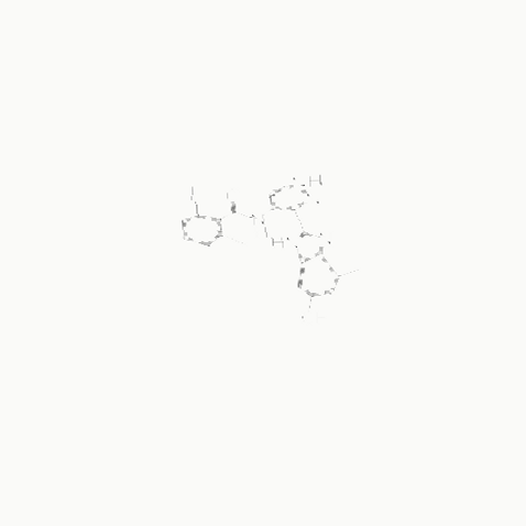 Cc1cccc(F)c1C(=O)Nc1c[nH]nc1-c1nc2c(C)cc(C(F)(F)F)cc2[nH]1